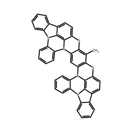 Cc1c2c(cc3c1Sc1ccc4c5ccccc5n5c4c1B3c1ccccc1-5)B1c3ccccc3-n3c4ccccc4c4ccc(c1c43)S2